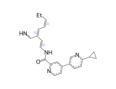 CC\C=C/C=C(C=N)\C=C\NC(=O)c1cc(-c2ccc(C3CC3)nc2)ccn1